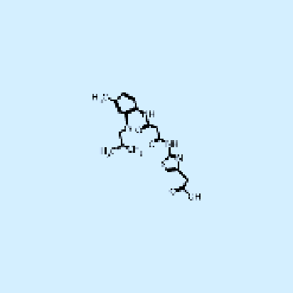 Cc1ccc(NC(=O)CC(=O)Nc2nc(CC(=O)O)cs2)c(OCC(C)C)c1